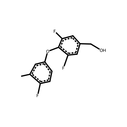 Cc1cc(Oc2c(F)cc(CO)cc2F)ccc1F